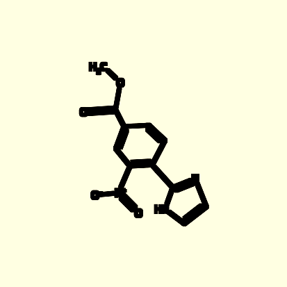 COC(=O)c1ccc(-c2ncc[nH]2)c([N+](=O)[O-])c1